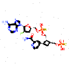 NC(=O)c1cc([C@@H]2C[C@H](COP(O)(O)=S)[C@H]2COP(O)(=S)OC[C@@H]2C[C@@H](F)[C@H](n3cnc4c(N)ncnc43)O2)ccn1